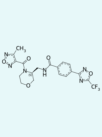 Cc1nonc1C(=O)N1CCOC[C@@H]1CNC(=O)c1ccc(-c2noc(C(F)(F)F)n2)cc1